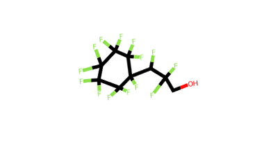 OCC(F)(F)C(F)C1(F)C(F)(F)C(F)(F)C(F)(F)C(F)(F)C1(F)F